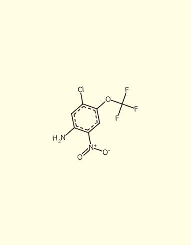 Nc1cc(Cl)c(OC(F)(F)F)cc1[N+](=O)[O-]